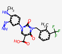 CNc1ccc(-n2cc(C(=O)O)c(=O)n(Cc3cccc(C(F)(F)F)c3C)c2=O)cc1N=N